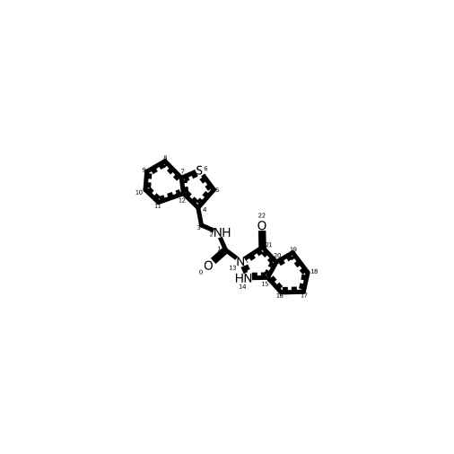 O=C(NCc1csc2ccccc12)n1[nH]c2ccccc2c1=O